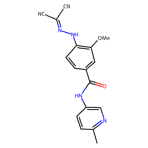 COc1cc(C(=O)Nc2ccc(C)nc2)ccc1NN=C(C#N)C#N